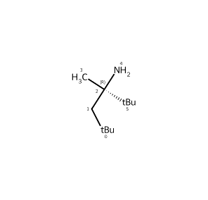 CC(C)(C)C[C@@](C)(N)C(C)(C)C